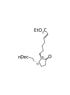 CCCCCCCCCCCC[C@H]1CCC(=O)[C@@H]1CCCCC=CC(=O)OCC